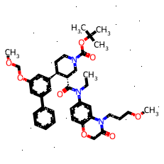 CCN(C(=O)[C@H]1CN(C(=O)OC(C)(C)C)CC[C@@H]1c1cc(OCOC)cc(-c2ccccc2)c1)c1ccc2c(c1)N(CCCOC)C(=O)CO2